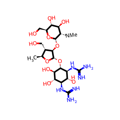 CN[C@@H]1[C@H](O[C@H]2[C@H](O[C@H]3[C@H](O)[C@@H](O)[C@H](NC(=N)N)[C@@H](O)[C@@H]3NC(=N)N)O[C@@H](C)[C@@H]2CO)O[C@@H](CO)[C@H](O)[C@H]1O